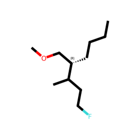 CCCC[C@@H](COC)C(C)CCF